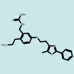 COC(=O)NCc1cc(OCCc2nc(-c3ccccc3)oc2C)ccc1CCC(=O)O